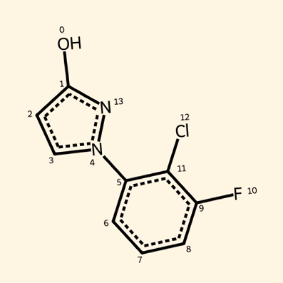 Oc1ccn(-c2cccc(F)c2Cl)n1